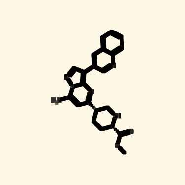 COC(=O)[C@@H]1CC[C@H](c2cc(N)n3ncc(-c4cnc5ccccc5c4)c3n2)CN1